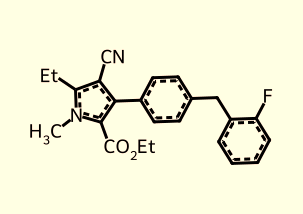 CCOC(=O)c1c(-c2ccc(Cc3ccccc3F)cc2)c(C#N)c(CC)n1C